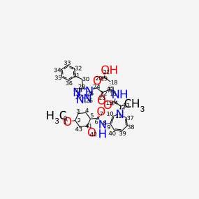 COC1CCC(C(=O)NC2=CN(C(C)C(=O)N[C@@H](CC(=O)O)C(=O)Cn3nnnc3Cc3ccccc3)C=CC=C2)C(=O)C1